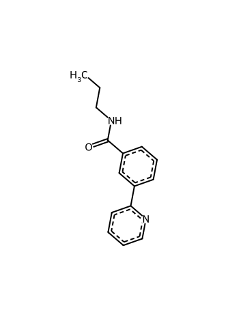 CCCNC(=O)c1cccc(-c2ccccn2)c1